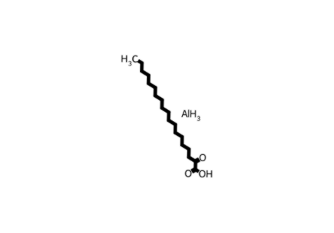 CCCCCCCCCCCCCCCCCC(=O)C(=O)O.[AlH3]